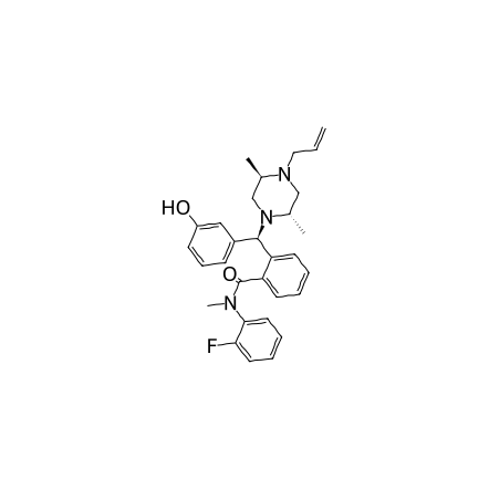 C=CCN1C[C@H](C)N([C@H](c2cccc(O)c2)c2ccccc2C(=O)N(C)c2ccccc2F)C[C@H]1C